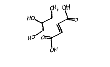 CCC(O)CO.O=C(O)C=CC(=O)O